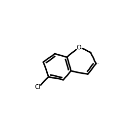 Clc1ccc2c(c1)C=[C]CO2